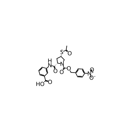 CC(=O)S[C@H]1C[C@@H](C(=O)Nc2cccc(C(=O)O)c2)N(C(=O)OCc2ccc([N+](=O)[O-])cc2)C1